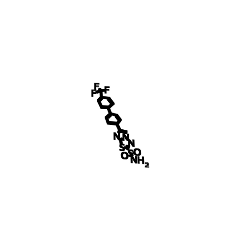 NS(=O)(=O)c1nn2cc(-c3ccc(-c4ccc(C(F)(F)F)cc4)cc3)nc2s1